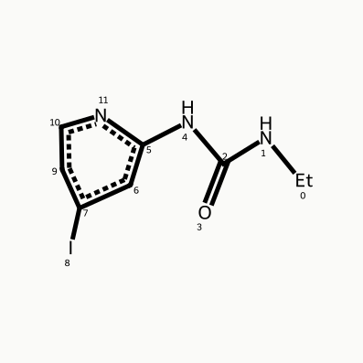 CCNC(=O)Nc1cc(I)ccn1